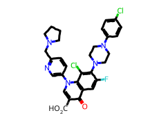 O=C(O)c1cn(-c2ccc(CN3CCCC3)nc2)c2c(Cl)c(N3CCN(c4ccc(Cl)cc4)CC3)c(F)cc2c1=O